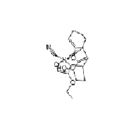 CCOC1=CO[N@+]2(C#N)C=CC34CCCC=C3OC3=C4C(=C12)CC[C@H]3O